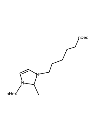 CCCCCCCCCCCCCCCN1C=CN(CCCCCC)C1C